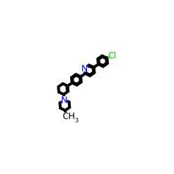 CC1CCN(C2C=C(c3ccc(-c4ccc(-c5ccc(Cl)cc5)cn4)cc3)CCC2)CC1